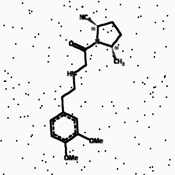 COc1ccc(CCNCC(=O)N2[C@H](C#N)CC[C@@H]2C)cc1OC